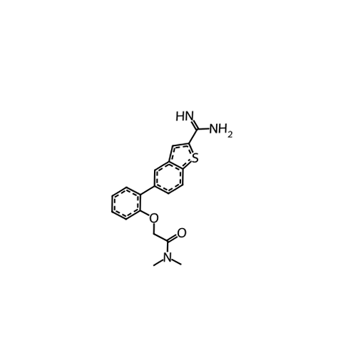 CN(C)C(=O)COc1ccccc1-c1ccc2sc(C(=N)N)cc2c1